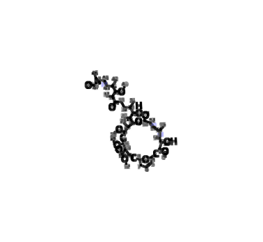 COC1CC2C=CCC(CC(OC)C3(CO3)C(OC)CC(OC)C(C)C(C(C)C(O)C(C)CCC(=O)C(C)C(OC)C(C)/C=C/N(C)C=O)OC(=O)/C=C/C(C)=C/C1O)O2